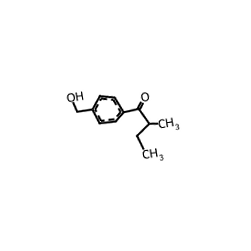 CCC(C)C(=O)c1ccc(CO)cc1